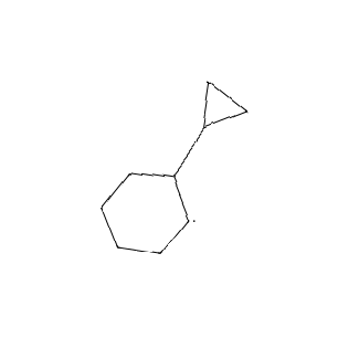 [CH]1CCCCC1C1CC1